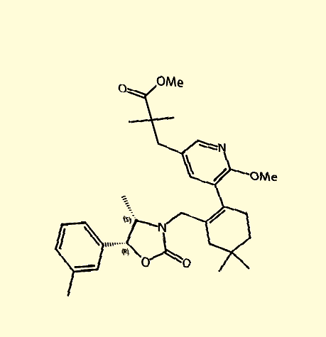 COC(=O)C(C)(C)Cc1cnc(OC)c(C2=C(CN3C(=O)O[C@H](c4cccc(C)c4)[C@@H]3C)CC(C)(C)CC2)c1